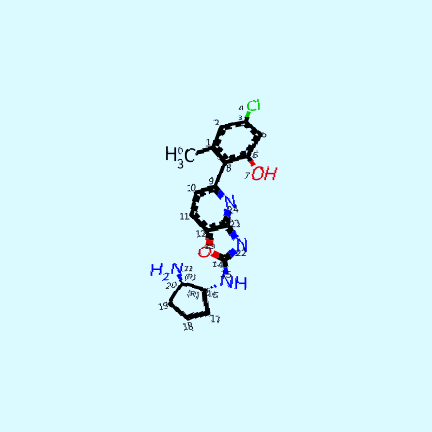 Cc1cc(Cl)cc(O)c1-c1ccc2oc(N[C@@H]3CCC[C@H]3N)nc2n1